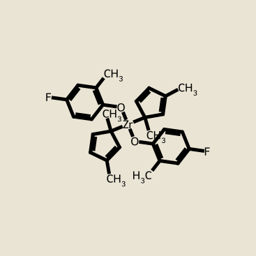 CC1=C[C](C)([Zr]([O]c2ccc(F)cc2C)([O]c2ccc(F)cc2C)[C]2(C)C=CC(C)=C2)C=C1